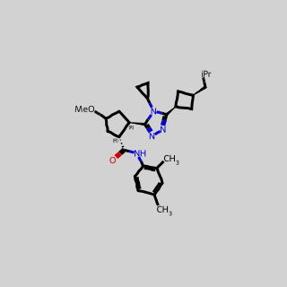 COC1C[C@@H](C(=O)Nc2ccc(C)cc2C)[C@H](c2nnc([C@H]3C[C@@H](CC(C)C)C3)n2C2CC2)C1